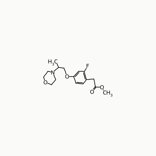 COC(=O)Cc1ccc(OCC(C)N2CCOCC2)cc1F